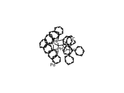 O=C(O[PH](c1ccccc1)(c1ccccc1)c1ccccc1)C([PH](c1ccccc1)(c1ccccc1)c1ccccc1)([PH](c1ccccc1)(c1ccccc1)c1ccccc1)[PH](c1ccccc1)(c1ccccc1)c1ccccc1.[Pd]